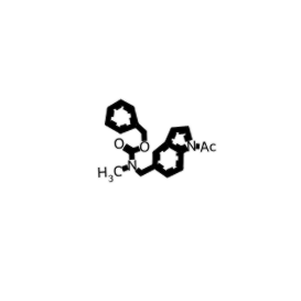 CC(=O)n1ccc2cc(CN(C)C(=O)OCc3ccccc3)ccc21